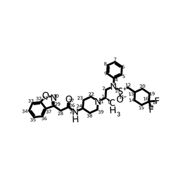 C[C@H](CN(c1ccccc1)[S+]([O-])CC1CCC(F)(F)CC1)N1CCC(NC(=O)Cc2noc3ccccc23)CC1